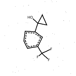 OC1(c2cccc(C(F)(F)F)c2)CC1